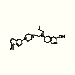 CCCN(CCN1CCN(c2ccc3[nH]ccc3c2)CC1)C1CCc2ccc(O)cc2C1